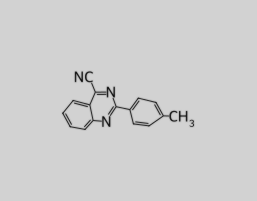 Cc1ccc(-c2nc(C#N)c3ccccc3n2)cc1